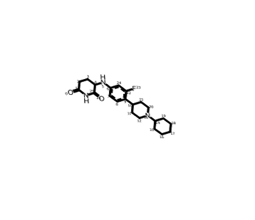 O=C1CCC(Nc2ccc(C3CCN(C4CCCCC4)CC3)c(F)c2)C(=O)N1